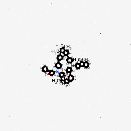 CC1(C)CC(C)(c2ccc(-c3ccc(N(c4ccc5c(c4)C(C)(C)c4ccccc4-5)c4ccc5oc6ccccc6c5c4)cc3)cc2)c2cc(-c3ccc(N(c4ccc5c(c4)C(C)(C)c4ccccc4-5)c4ccc5oc6ccccc6c5c4)cc3)ccc21